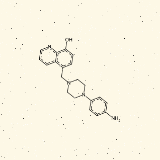 Nc1ccc(N2CCN(Cc3ccc(O)c4ncccc34)CC2)cc1